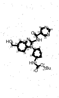 CC(C)(C)OC(=O)Nc1cccc(-n2c(NC(=O)c3cncnc3)nc3cc(CO)ccc32)c1